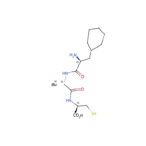 CC[C@H](C)[C@H](NC(=O)[C@@H](N)CC1CCCCC1)C(=O)N[C@@H](CS)C(=O)O